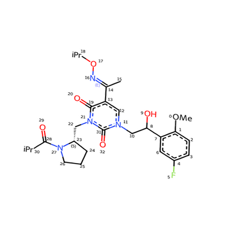 COc1ccc(F)cc1C(O)Cn1cc(/C(C)=N/OC(C)C)c(=O)n(C[C@@H]2CCCN2C(=O)C(C)C)c1=O